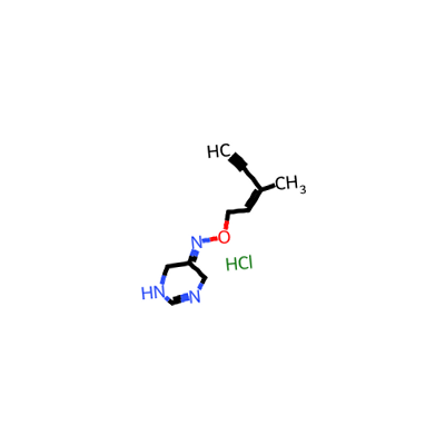 C#CC(C)=CCON=C1CN=CNC1.Cl